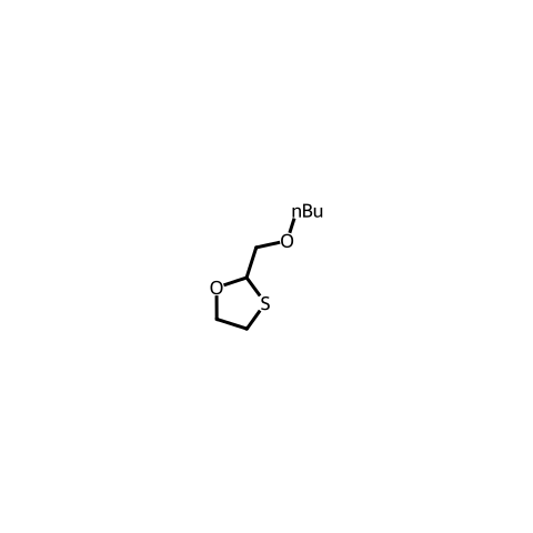 CCCCOCC1OCCS1